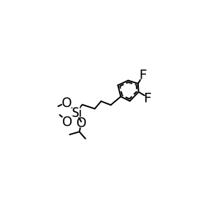 CO[Si](CCCCc1ccc(F)c(F)c1)(OC)OC(C)C